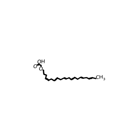 CCC=CCC=CCC=CCC=CCC=CC/C=C\CCCOCC(=O)O